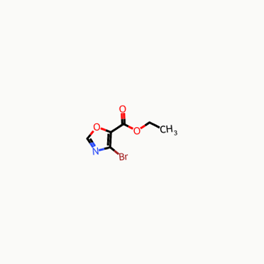 CCOC(=O)c1ocnc1Br